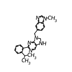 CC(C)c1ccccc1-c1ncc2c(n1)N(Cc1ccc3c(c1)ncn3C)CN2